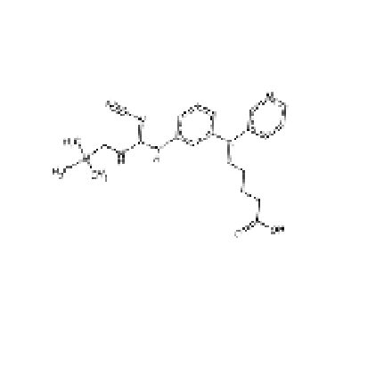 C[Si](C)(C)CNC(=NC#N)Nc1cccc(C(=CCCCC(=O)O)c2cccnc2)c1